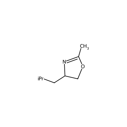 CC1=NC(CC(C)C)CO1